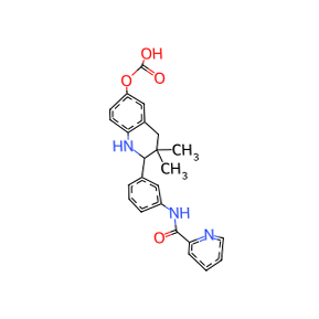 CC1(C)Cc2cc(OC(=O)O)ccc2NC1c1cccc(NC(=O)c2ccccn2)c1